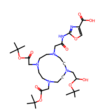 CC(C)(C)OC(=O)CN1CCN(CC(=O)Nc2nc(C(=O)O)co2)CCN(CC(O)OC(C)(C)C)CCN(CC(=O)OC(C)(C)C)CC1